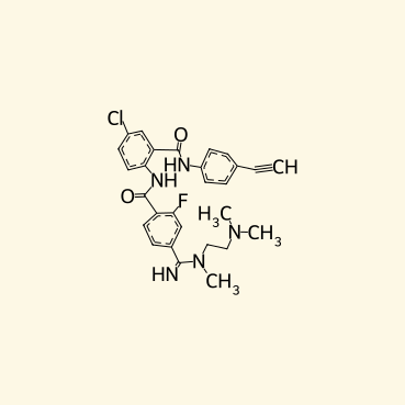 C#Cc1ccc(NC(=O)c2cc(Cl)ccc2NC(=O)c2ccc(C(=N)N(C)CCN(C)C)cc2F)cc1